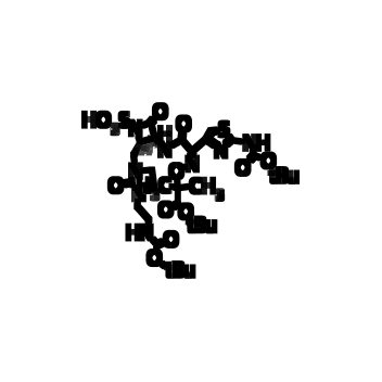 CC(C)(C)OC(=O)NCCN1CCN(C[C@@H]2[C@H](NC(=O)C(=NOC(C)(C)C(=O)OC(C)(C)C)c3csc(NC(=O)OC(C)(C)C)n3)C(=O)N2S(=O)(=O)O)C1=O